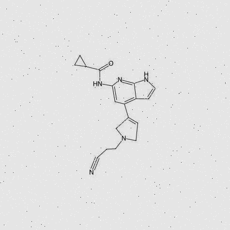 N#CCCN1CC=C(c2cc(NC(=O)C3CC3)nc3[nH]ccc23)C1